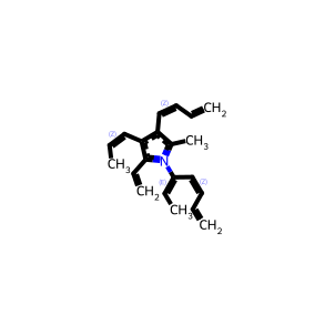 C=C/C=C\C(=C/C)n1c(C)c(/C=C\C=C)c(/C=C\C)c1C=C